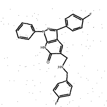 O=c1[nH]c2c(cc1CNCc1ccc(F)cc1)c(-c1ccc(F)cc1)nn2-c1ccccc1